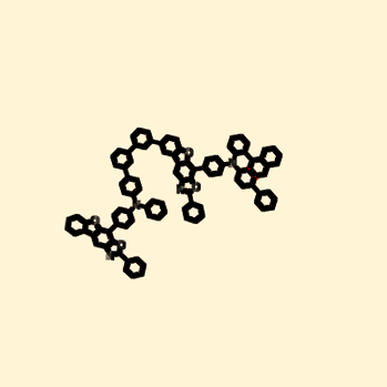 c1ccc(-c2ccc(N(c3ccc(-c4c5oc(-c6ccccc6)nc5cc5c4oc4ccc(-c6cccc(-c7cccc(-c8ccc(N(c9ccccc9)c9ccc(-c%10c%11oc(-c%12ccccc%12)nc%11cc%11c%10oc%10ccccc%10%11)cc9)cc8)c7)c6)cc45)cc3)c3ccccc3-c3cccc4ccccc34)cc2)cc1